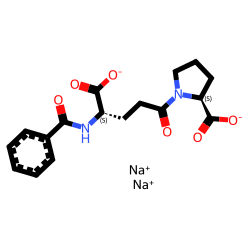 O=C(N[C@@H](CCC(=O)N1CCC[C@H]1C(=O)[O-])C(=O)[O-])c1ccccc1.[Na+].[Na+]